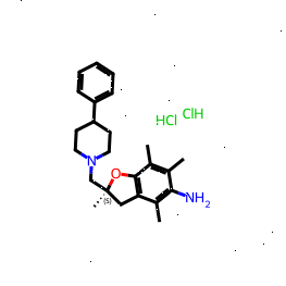 Cc1c(C)c2c(c(C)c1N)C[C@@](C)(CN1CCC(c3ccccc3)CC1)O2.Cl.Cl